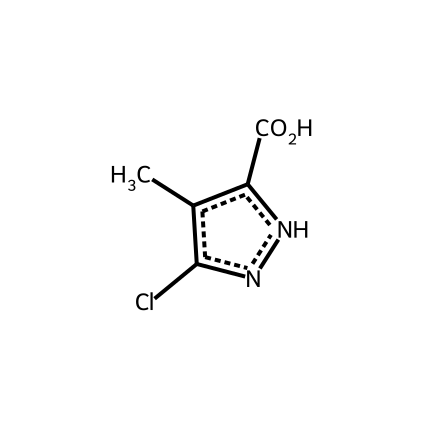 Cc1c(Cl)n[nH]c1C(=O)O